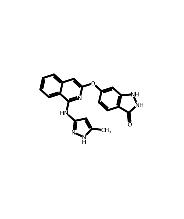 Cc1cc(Nc2nc(Oc3ccc4c(=O)[nH][nH]c4c3)cc3ccccc23)n[nH]1